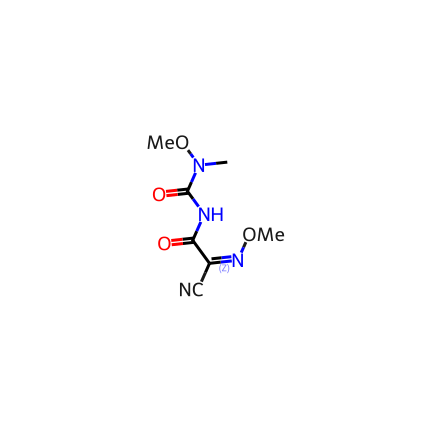 CO/N=C(/C#N)C(=O)NC(=O)N(C)OC